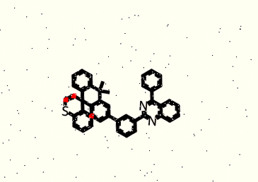 CC1(C)c2ccccc2C2(c3ccccc3Sc3ccccc32)c2ccc(-c3cccc(-c4nc(-c5ccccc5)c5ccccc5n4)c3)cc21